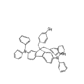 Oc1ccc(CC2(Cc3ccc(O)cc3)c3cc(N(c4ccccc4)c4ccccc4)ccc3-c3ccc(N(c4ccccc4)c4ccccc4)cc32)cc1